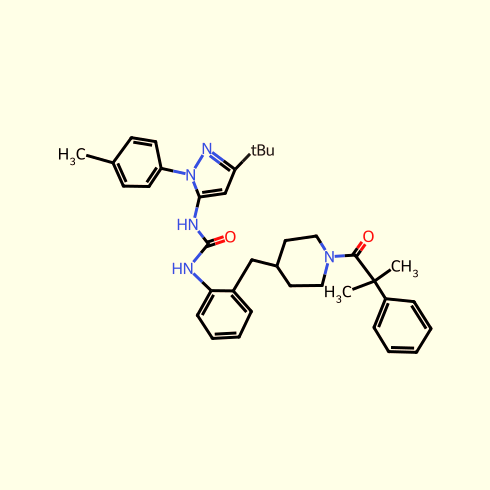 Cc1ccc(-n2nc(C(C)(C)C)cc2NC(=O)Nc2ccccc2CC2CCN(C(=O)C(C)(C)c3ccccc3)CC2)cc1